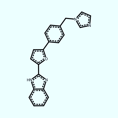 c1ccc2[nH]c(-c3ccc(-c4ccc(Cn5ccnc5)cc4)o3)nc2c1